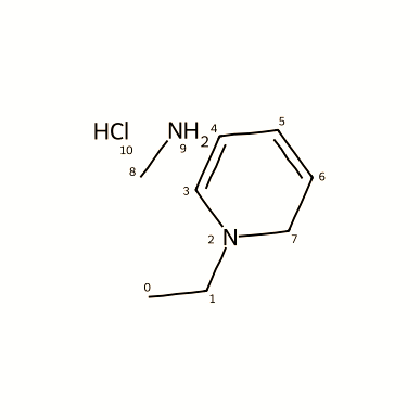 CCN1C=CC=CC1.CN.Cl